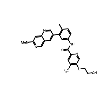 CNc1cc2ncc(-c3cc(NC(=O)c4cc(C(F)(F)F)c(OCCO)cn4)ccc3C)cc2cn1